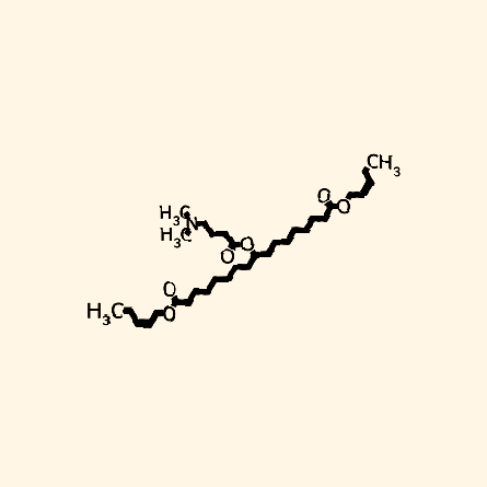 CC/C=C\COC(=O)CCCCCCCC(CCCCCCCC(=O)OC/C=C\CC)OC(=O)CCCN(C)C